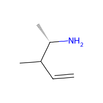 C=CC(C)[C@H](C)N